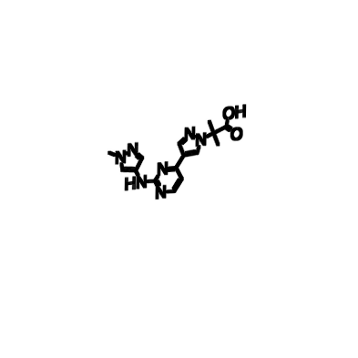 Cn1cc(Nc2nccc(-c3cnn(C(C)(C)C(=O)O)c3)n2)cn1